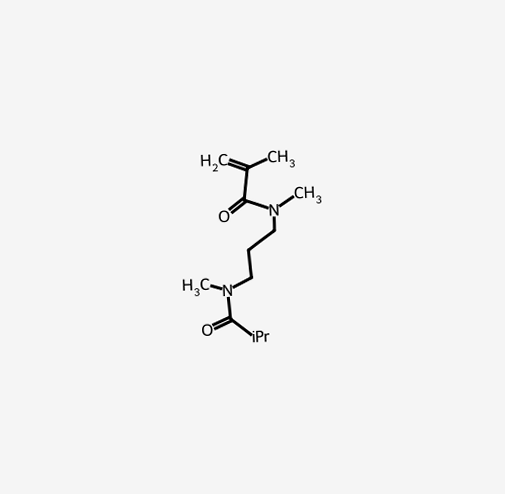 C=C(C)C(=O)N(C)CCCN(C)C(=O)C(C)C